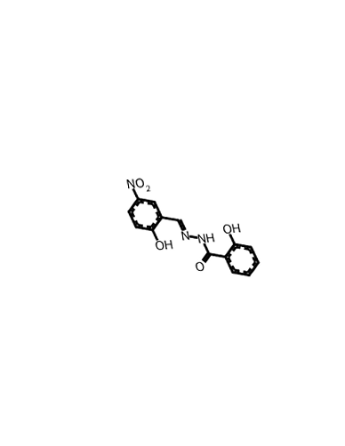 O=C(N/N=C/c1cc([N+](=O)[O-])ccc1O)c1ccccc1O